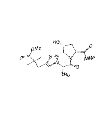 CNC(=O)[C@@H]1C[C@@H](O)CN1C(=O)[C@@H](n1cc(CC(C)(C)C(=O)OC)nn1)C(C)(C)C